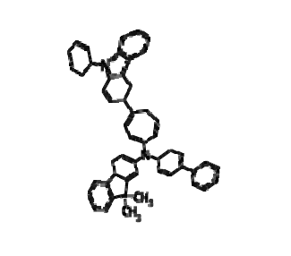 CC1(C)C2=CC(N(C3=CC=C(C4C=Cc5c(c6ccccc6n5C5C=CC=CC5)C4)CC=C3)C3C=CC(c4ccccc4)=CC3)=CCC2c2ccccc21